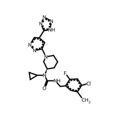 Cc1cc(CNC(=O)N(C2CC2)[C@@H]2CCCN(c3cc(-c4nnn[nH]4)cnn3)C2)c(F)cc1Cl